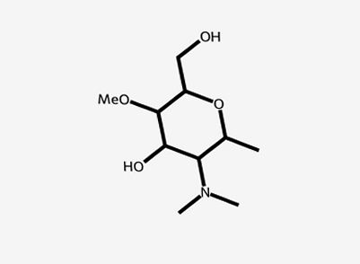 COC1C(CO)OC(C)C(N(C)C)C1O